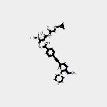 C=C(C#Cc1ccc(C(=O)N[C@H](C(=O)NO)[C@@H](C)NC(=O)CNC2CC2)cc1)/C=C\C(=C/C)CN1CCOCC1